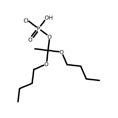 CCCCOC(C)(OCCCC)OP(=O)(O)Cl